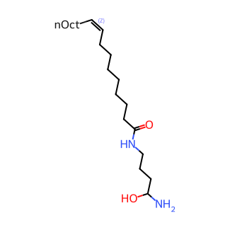 CCCCCCCC/C=C\CCCCCCCC(=O)NCCCC(N)O